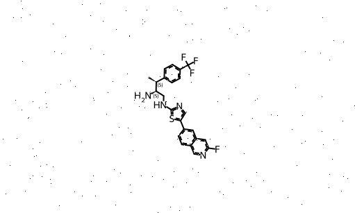 C[C@@H](c1ccc(C(F)(F)F)cc1)[C@H](N)CNc1ncc(-c2ccc3cnc(F)cc3c2)s1